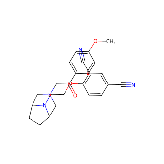 COc1ccc(C(=O)CN2CC3CCC(C2)N3CCOc2ccc(C#N)cc2C#N)cc1